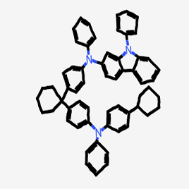 c1ccc(N(c2ccc(C3CCCCC3)cc2)c2ccc(C3(c4ccc(N(c5ccccc5)c5ccc6c7ccccc7n(-c7ccccc7)c6c5)cc4)CCCCC3)cc2)cc1